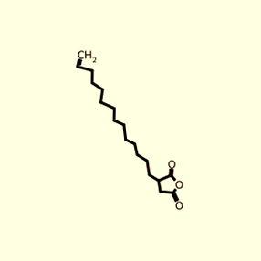 C=CCCCCCCCCCCCCC1CC(=O)OC1=O